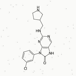 O=c1[nH]c2cnc(NCC3CCNC3)nc2n1-c1cccc(Cl)c1